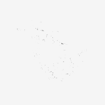 CCO[C@@H]1c2nc(cs2)-c2ccc3c(c2)c(c(-c2cc(N4CCN(C)CC4)cnc2[C@H](C)OC)n3CC)CC(C)(C)COC(=O)[C@@H]2CCCN(N2)C(=O)[C@H]1NC(=O)N1CC[C@H]1COC